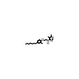 CCCCCCCc1ccc(OCCNc2ncnc(C)c2C)c(C)c1